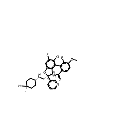 COc1ccc(C(N)=O)c(-c2c(Cl)c(F)cc3c2[C@H](C)[C@@](CN[C@H]2CC[C@](C)(O)CC2)(c2cccnc2)O3)c1F